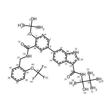 BC(B)(O)Oc1ncc(-c2ccc3c(C(=O)NC(B)(O)C(B)(B)B)n[nH]c3c2)cc1C(=O)NCc1ccccc1OC(F)(F)F